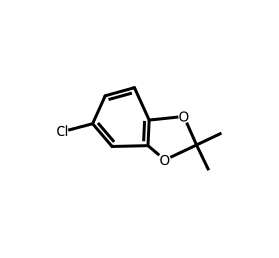 CC1(C)Oc2ccc(Cl)cc2O1